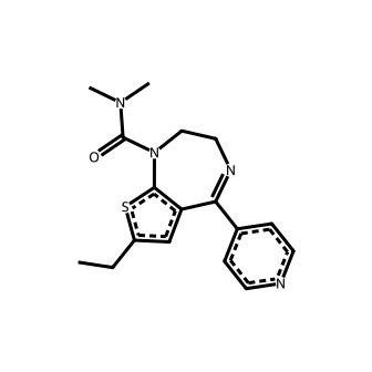 CCc1cc2c(s1)N(C(=O)N(C)C)CCN=C2c1ccncc1